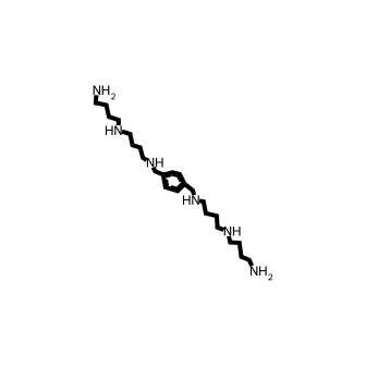 NCCCCNCCCCNCc1ccc(CNCCCCNCCCCN)cc1